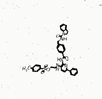 Cc1ccc(S(=O)(=O)OCCNc2ccc(-c3ccccc3)nc2NC(=O)c2ccc(CNC(=O)N3CCc4ccccc43)cc2)cc1